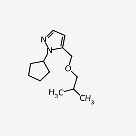 CC(C)COCc1ccnn1C1CCCC1